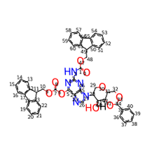 O=C(Nc1nc(OC(=O)OCC2c3ccccc3-c3ccccc32)c2ncn(C3COC4COC(c5ccccc5)O[C@@H]4C3O)c2n1)OCC1c2ccccc2-c2ccccc21